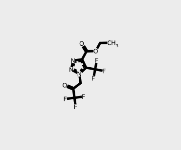 CCOC(=O)c1nnn(CC(=O)C(F)(F)F)c1C(F)(F)F